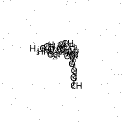 C#CCOCCOCCOCCn1nccc1C(=O)Nc1cc(C2CC[C@H](OC(=O)NC(C)C)C2)nn1C(C)(C)C